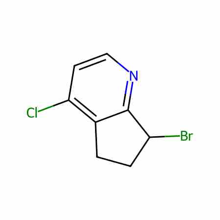 Clc1ccnc2c1CCC2Br